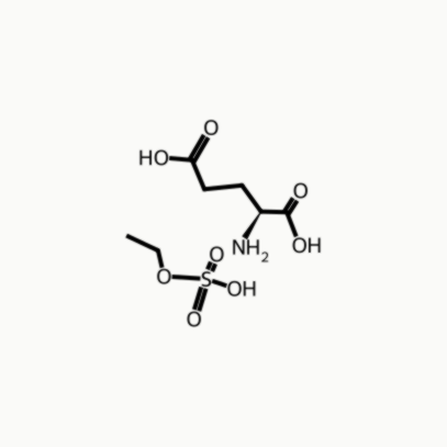 CCOS(=O)(=O)O.N[C@@H](CCC(=O)O)C(=O)O